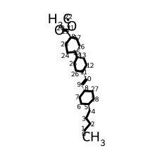 CCCCC[C@H]1CC[C@H](C=C[C@H]2CC[C@H]([C@H]3CC[C@H](C(=O)OC)CC3)CC2)CC1